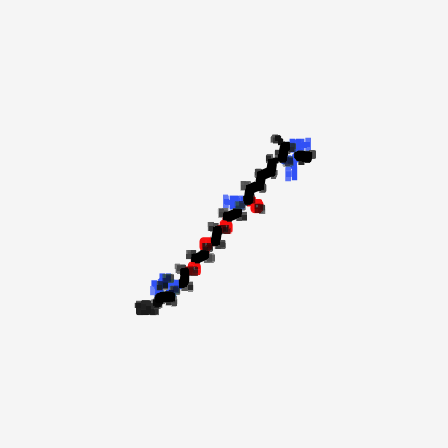 C=C1N[C@@H](C)[C@@H](CCCCCC(=O)NCCOCCOCCOCCn2cc(C(C)(C)C)nn2)N1